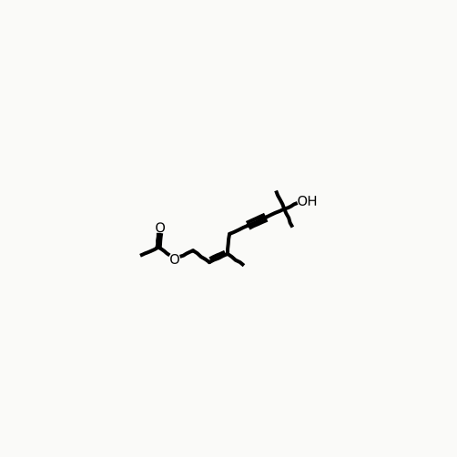 CC(=O)OCC=C(C)CC#CC(C)(C)O